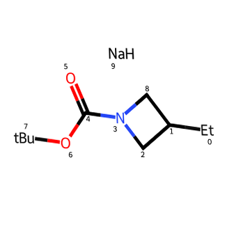 CCC1CN(C(=O)OC(C)(C)C)C1.[NaH]